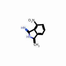 C=C1NC(=N)c2c1cccc2[N+](=O)[O-]